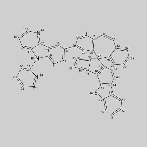 C1=Cc2ccc(-c3ccc4c(c3)c3ncccc3n4-c3ccccn3)cc2C2(c3ccccc31)c1ccccc1-c1c2ccc2c1sc1ccccc12